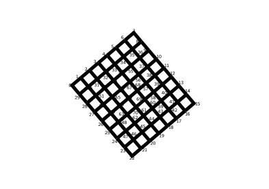 C1C2C3C4C5C6C7CC8C9C%10C%11C%12C%13C%14CC%15C%16C%17C%18C%19C%20CC%21C%22C%23C%24C%25C%26C1C21C32C43C54C65C78C96C%107C%118C%129C%13%10C%15%14C%16%11C%17%12C%18%13C%19%14C%20%21C%22%15C%23%16C%24%17C%25%18C%261C21C32C43C56C74C85C96C%11%10C%127C%138C%14%15C%169C%17%10C%181C21C34C52C76C89C%1012